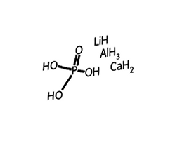 O=P(O)(O)O.[AlH3].[CaH2].[LiH]